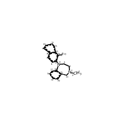 CN1CCN(c2ccc3ccccc3c2F)c2ccccc2C1